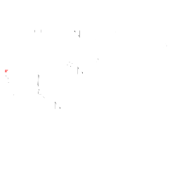 c1ccc(-n2c3ccccc3c3ccc(-c4cccc5sc6cccc(-c7cnc8c(n7)oc7ccc9ccccc9c78)c6c45)cc32)cc1